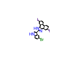 Brc1ccc2[nH]cc(-c3nc4c5cc(I)ccc5c5ccc(I)cc5c4[nH]3)c2c1